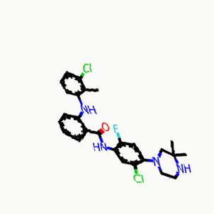 Cc1c(Cl)cccc1Nc1ccccc1C(=O)Nc1cc(Cl)c(N2CCNC(C)(C)C2)cc1F